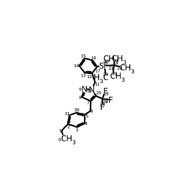 CCc1ccc(Cc2cnn(Cc3ccccc3[Si](C)(C)C(C)(C)C)c2C(F)(F)F)cc1